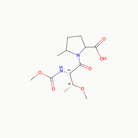 COC(=O)N[C@H](C(=O)N1C(C)CCC1C(=O)O)[C@@H](C)OC